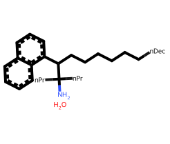 CCCCCCCCCCCCCCCCC(c1cccc2ccccc12)C(N)(CCC)CCC.O